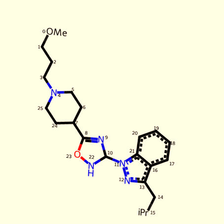 COCCCN1CCC(C2=NC(n3nc(CC(C)C)c4ccccc43)NO2)CC1